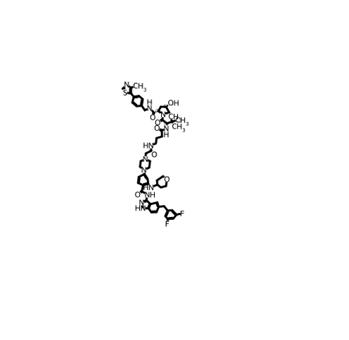 Cc1ncsc1-c1ccc(CNC(=O)[C@@H]2C[C@@H](O)CN2C(=O)[C@@H](NC(=O)CCCNC(=O)CN2CCN(c3ccc(C(=O)Nc4n[nH]c5ccc(Cc6cc(F)cc(F)c6)cc45)c(NC4CCOCC4)c3)CC2)C(C)(C)C)cc1